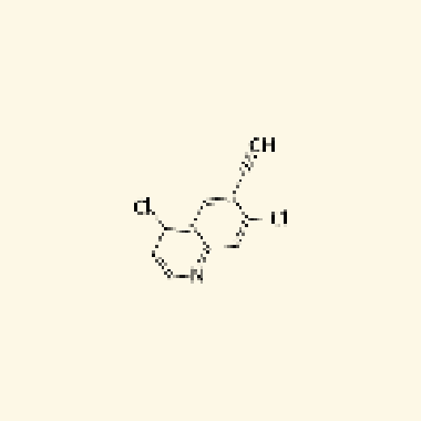 C#Cc1cc2c(Cl)ccnc2cc1Cl